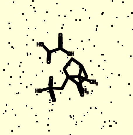 CC1(C)C2CCC1(CS(=O)(=O)O)C(=O)C2.O=C(O)C(=O)O